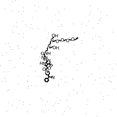 C#CCOCCOCCOCCOCCN(CCO)CCCN(CCO)CCCNC(=O)c1ncn(-c2ncc(OC)c3c(C(=O)C(=O)N4CCC(=C(C#N)c5ccccc5)CC4)c[nH]c23)n1